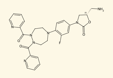 NC[C@H]1CN(c2ccc(N3CCN(C(=O)c4ccccn4)N(C(=O)c4ccccn4)CC3)c(F)c2)C(=O)O1